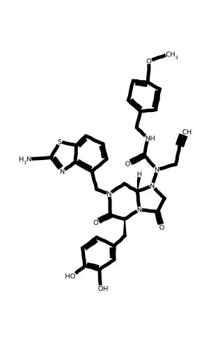 C#CCN(C(=O)NCc1ccc(OC)cc1)N1CC(=O)N2[C@@H](Cc3ccc(O)c(O)c3)C(=O)N(Cc3cccc4sc(N)nc34)C[C@@H]21